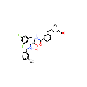 CCCC(CCCO)Cc1cccc(C(=O)N[C@@H](Cc2cc(F)cc(F)c2)[C@@H](O)CNCc2cccc(CC)c2)c1